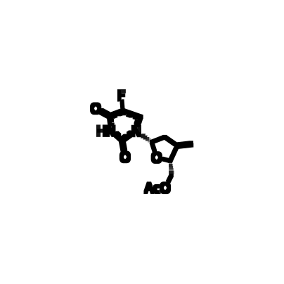 C=C1C[C@@H](n2cc(F)c(=O)[nH]c2=O)O[C@H]1COC(C)=O